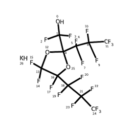 OC(F)(F)C1(C(F)(F)C(F)(F)C(F)(F)F)OC(F)(F)C(F)(C(F)(F)C(F)(F)C(F)(F)F)O1.[KH]